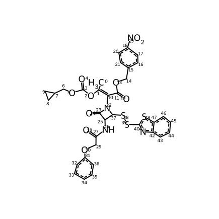 C/C(OC(=O)OCC1CC1)=C(\C(=O)OCc1ccc([N+](=O)[O-])cc1)N1C(=O)C(NC(=O)COc2ccccc2)C1SSc1nc2ccccc2s1